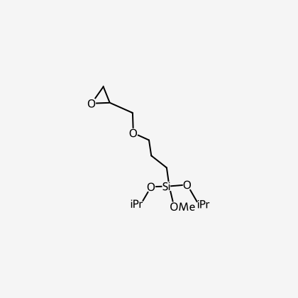 CO[Si](CCCOCC1CO1)(OC(C)C)OC(C)C